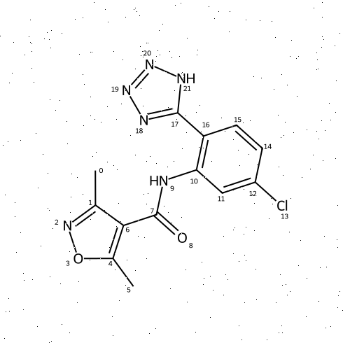 Cc1noc(C)c1C(=O)Nc1cc(Cl)ccc1-c1nnn[nH]1